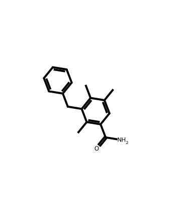 Cc1cc(C(N)=O)c(C)c(Cc2ccccc2)c1C